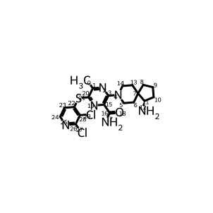 Cc1nc(N2CCC3(CCC[C@H]3N)CC2)c(C(N)=O)nc1Sc1ccnc(Cl)c1Cl